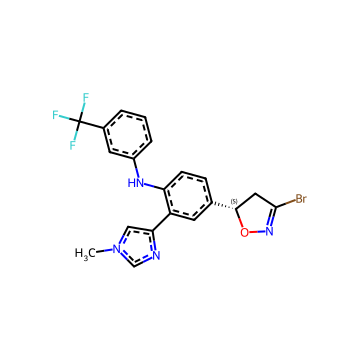 Cn1cnc(-c2cc([C@@H]3CC(Br)=NO3)ccc2Nc2cccc(C(F)(F)F)c2)c1